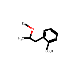 CCOC(C)Cc1ccccc1C(=O)O